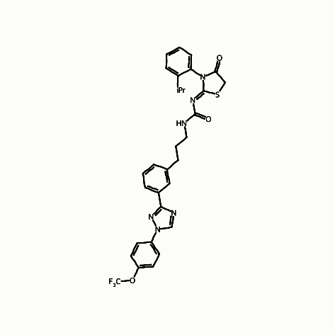 CC(C)c1ccccc1N1C(=O)CSC1=NC(=O)NCCCc1cccc(-c2ncn(-c3ccc(OC(F)(F)F)cc3)n2)c1